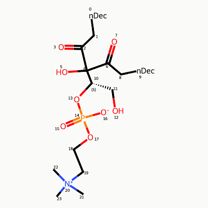 CCCCCCCCCCCC(=O)C(O)(C(=O)CCCCCCCCCCC)[C@H](CO)OP(=O)([O-])OCC[N+](C)(C)C